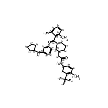 CC1=C(C(F)(F)F)CC(NC(=O)CC2CCCN(C(=O)c3c(C)cccc3F)[C@H]2c2ccc(NC3CCCC3)cc2)C=C1